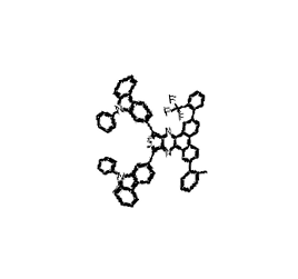 Cc1ccccc1-c1ccc2c3ccc(-c4ccccc4C(F)(F)F)cc3c3nc4c(-c5ccc6c7ccccc7n(-c7ccccc7)c6c5)sc(-c5ccc6c7ccccc7n(-c7ccccc7)c6c5)c4nc3c2c1